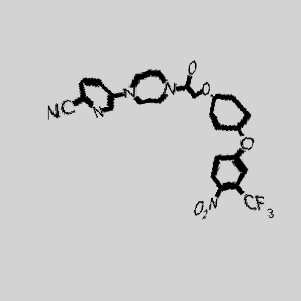 N#Cc1ccc(N2CCN(C(=O)CO[C@H]3CC[C@H](Oc4ccc([N+](=O)[O-])c(C(F)(F)F)c4)CC3)CC2)cn1